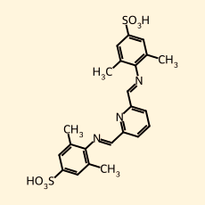 Cc1cc(S(=O)(=O)O)cc(C)c1/N=C/c1cccc(/C=N/c2c(C)cc(S(=O)(=O)O)cc2C)n1